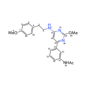 COc1ccc(CCNc2cc(-c3cccc(NC(C)=O)c3)nc(OC)n2)cc1